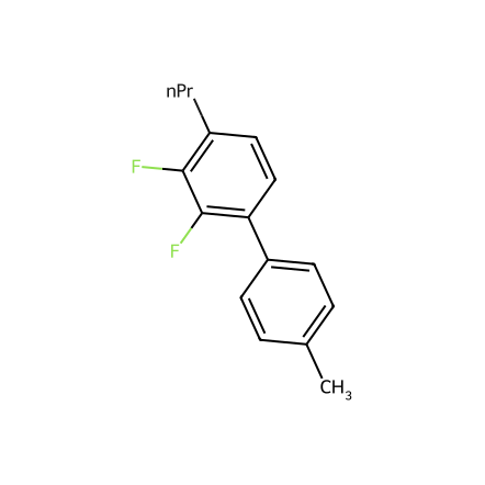 CCCc1ccc(-c2ccc(C)cc2)c(F)c1F